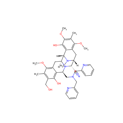 COc1c(C)c(OC)c2c(c1O)[C@H]1[C@@H]3Cc4c(OC)c(C)c(CO)c(O)c4[C@H](CN(Cc4ccccn4)Cc4ccccn4)N3[C@@H](C#N)[C@@H](C2)N1C